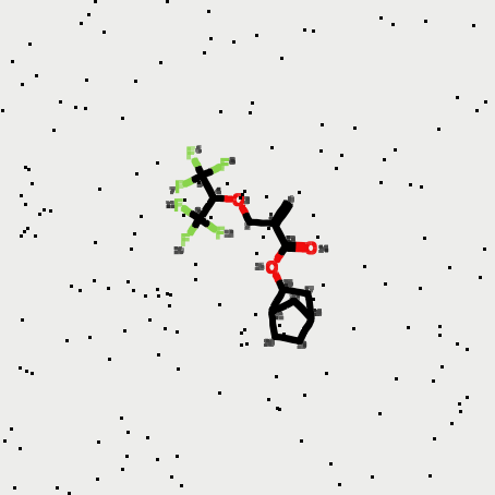 C=C(COC(C(F)(F)F)C(F)(F)F)C(=O)OC1CC2CCC1C2